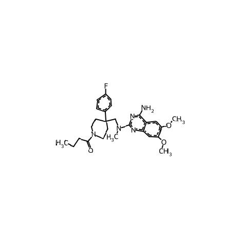 CCCC(=O)N1CCC(CN(C)c2nc(N)c3cc(OC)c(OC)cc3n2)(c2ccc(F)cc2)CC1